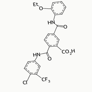 CCOc1ccccc1NC(=O)c1ccc(C(=O)Nc2ccc(Cl)c(C(F)(F)F)c2)c(C(=O)O)c1